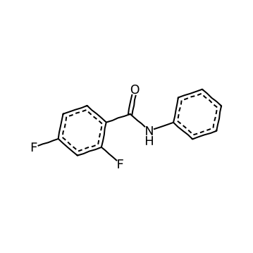 O=C(Nc1ccccc1)c1ccc(F)cc1F